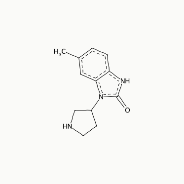 Cc1ccc2[nH]c(=O)n(C3CCNC3)c2c1